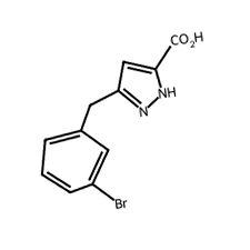 O=C(O)c1cc(Cc2cccc(Br)c2)n[nH]1